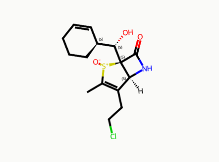 CC1=C(CCCl)[C@@H]2NC(=O)[C@]2([C@@H](O)[C@@H]2C=CCCC2)[S+]1[O-]